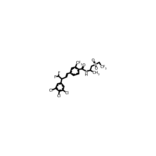 CC(CS(=O)(=O)CC(F)(F)F)NC(=O)c1ccc(/C=C/C(c2cc(Cl)c(Cl)c(Cl)c2)C(F)F)cc1C(F)(F)F